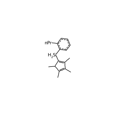 CCCc1ccccc1[SiH2]C1=C(C)C(C)=C(C)C1C